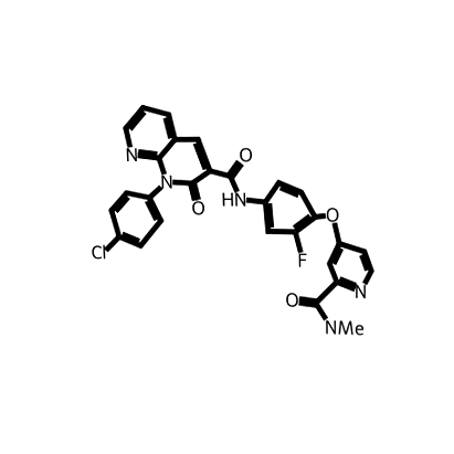 CNC(=O)c1cc(Oc2ccc(NC(=O)c3cc4cccnc4n(-c4ccc(Cl)cc4)c3=O)cc2F)ccn1